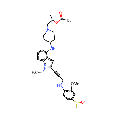 CCC(=O)OC(C)CN1CCC(Nc2cccc3c2cc(C#CCNc2ccc([S+](C)[O-])cc2OC)n3CC(F)(F)F)CC1